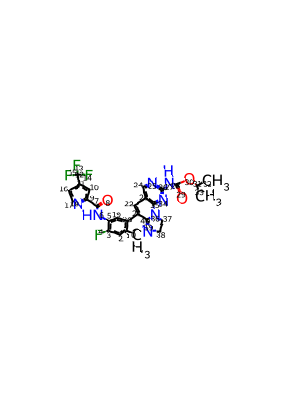 Cc1cc(F)c(NC(=O)c2cc(C(F)(F)F)ccn2)cc1C1=Cc2cnc(NC(=O)OC(C)C)nc2N2CCN=C12